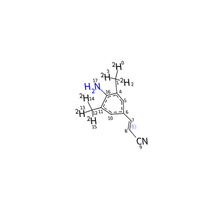 [2H]C([2H])([2H])c1cc(/C=C/C#N)cc(C([2H])([2H])[2H])c1N